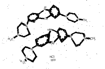 CN1CCN(c2ccc3c(c2)[Se]c2cc(N4CCN(C)CC4)ccc2N3)CC1.CN1CCN(c2ccc3c(c2)[Se]c2cc(N4CCN(C)CC4)ccc2N3)CC1.Cl.Cl